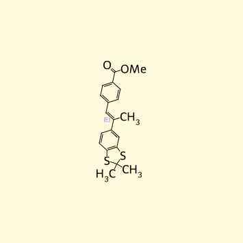 COC(=O)c1ccc(/C=C(\C)c2ccc3c(c2)SC(C)(C)S3)cc1